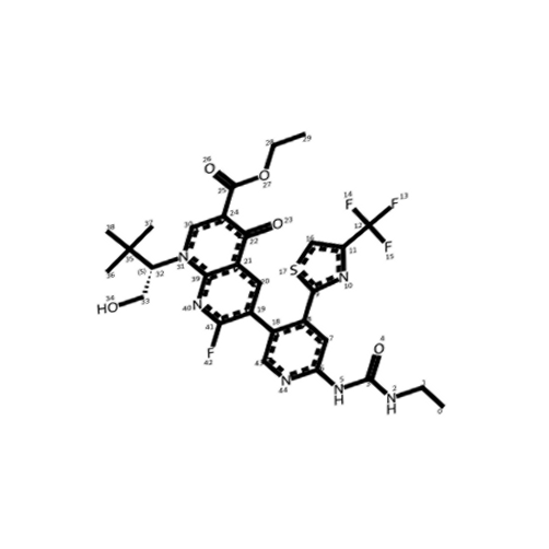 CCNC(=O)Nc1cc(-c2nc(C(F)(F)F)cs2)c(-c2cc3c(=O)c(C(=O)OCC)cn([C@H](CO)C(C)(C)C)c3nc2F)cn1